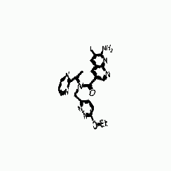 CCOc1ccc(CN(C(=O)c2cnc3nc(N)c(I)cc3c2)C(C)c2ncccn2)nn1